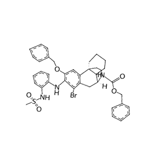 CS(=O)(=O)Nc1ccccc1Nc1c(OCc2ccccc2)cc2c(c1Br)C[C@H]1[C@H]3CCCC[C@@]23CCN1C(=O)OCc1ccccc1